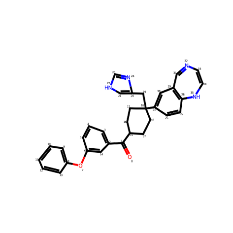 O=C(c1cccc(Oc2ccccc2)c1)C1CCC(Cc2c[nH]cn2)(c2ccc3c(c2)C=NC=CN3)CC1